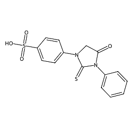 O=C1CN(c2ccc(S(=O)(=O)O)cc2)C(=S)N1c1ccccc1